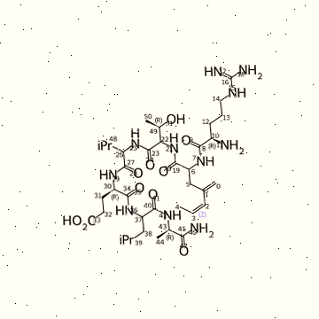 C=C(/C=C\C)CC(NC(=O)[C@H](N)CCCNC(=N)N)C(=O)NC(C(=O)NC(C(=O)N[C@H](CCC(=O)O)C(=O)NC(CC(C)C)C(=O)N[C@H](C)C(N)=O)C(C)C)[C@@H](C)O